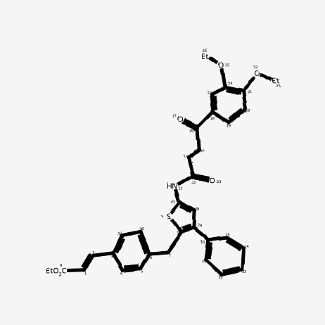 CCOC(=O)/C=C/c1ccc(Cc2sc(NC(=O)CCC(=O)c3ccc(OCC)c(OCC)c3)cc2-c2ccccc2)cc1